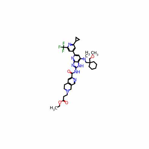 CCOC(=O)CCN1CCc2cc(C(=O)Nc3nc4nc(-c5cc(C6CC6)nc(C(F)(F)F)c5)cc(N(C)CC5(COC)CCCCC5)c4[nH]3)ncc2C1